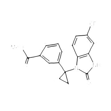 COC(=O)c1cccc(C2(n3c(=O)[nH]c4cc(C(F)(F)F)ccc43)CC2)c1